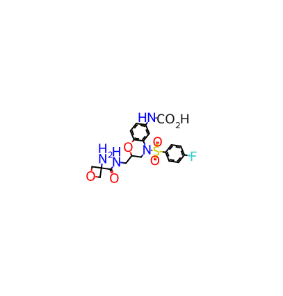 NC1(C(=O)NCC2CN(S(=O)(=O)c3ccc(F)cc3)c3cc(NC(=O)O)ccc3O2)COC1